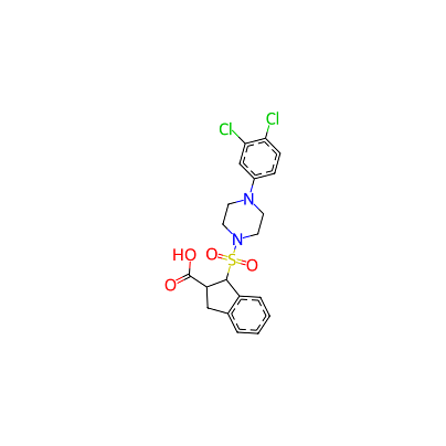 O=C(O)C1Cc2ccccc2C1S(=O)(=O)N1CCN(c2ccc(Cl)c(Cl)c2)CC1